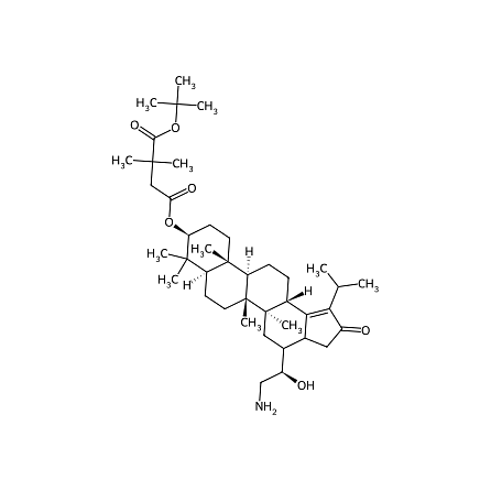 CC(C)C1=C2C(CC1=O)C([C@@H](O)CN)C[C@]1(C)[C@@H]2CC[C@@H]2[C@@]3(C)CC[C@H](OC(=O)CC(C)(C)C(=O)OC(C)(C)C)C(C)(C)[C@@H]3CC[C@]21C